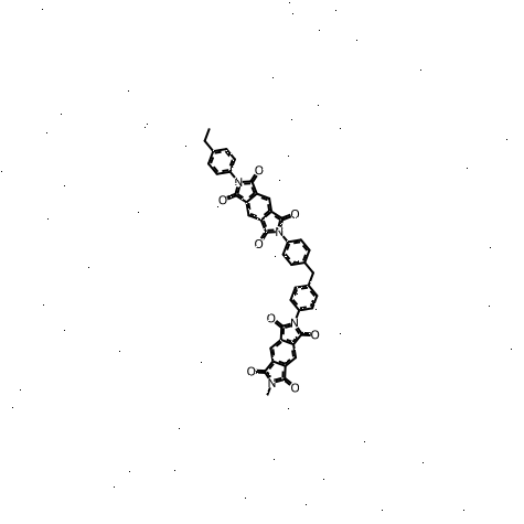 CCc1ccc(-n2c(=O)c3cc4c(=O)n(-c5ccc(Cc6ccc(-n7c(=O)c8cc9c(=O)n(C)c(=O)c9cc8c7=O)cc6)cc5)c(=O)c4cc3c2=O)cc1